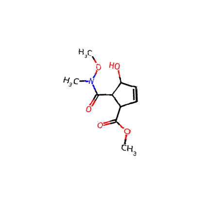 COC(=O)C1C=CC(O)C1C(=O)N(C)OC